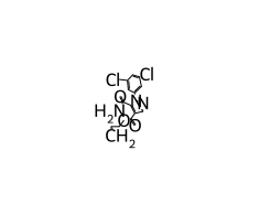 C=CCOC(=O)c1cnn(-c2cc(Cl)cc(Cl)c2)c1C(N)=O